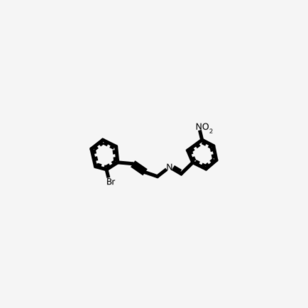 O=[N+]([O-])c1cccc(C=NCC#Cc2ccccc2Br)c1